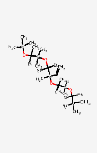 C=C[Si](C)(OC(C)(C)[Si](C)(CC)OC(CC)(CC)[Si](C)(C)C)C(CC)(CC)O[Si](C)(C)C(C)(CC)O[Si](C)(C)C